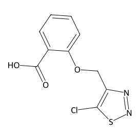 O=C(O)c1ccccc1OCc1nnsc1Cl